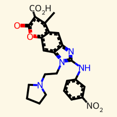 Cc1c(C(=O)O)c(=O)oc2cc3c(cc12)nc(Nc1cccc([N+](=O)[O-])c1)n3CCN1CCCC1